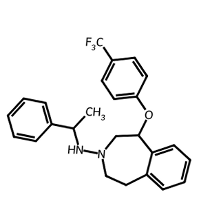 CC(NN1CCc2ccccc2C(Oc2ccc(C(F)(F)F)cc2)C1)c1ccccc1